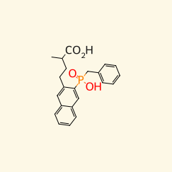 CC(CCc1cc2ccccc2cc1P(=O)(O)Cc1ccccc1)C(=O)O